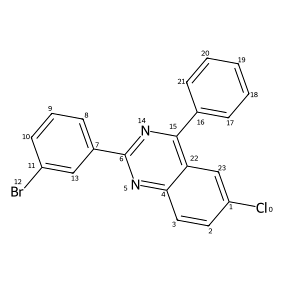 Clc1ccc2nc(-c3cccc(Br)c3)nc(-c3ccccc3)c2c1